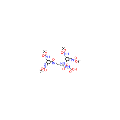 CC(C)(C)OC(=O)NCc1cc(CNC(=O)OC(C)(C)C)cc(C(=O)NCCCC[C@H](NC(=O)c2cc(CNC(=O)OC(C)(C)C)cc(CNC(=O)OC(C)(C)C)c2)C(=O)NCCC(=O)O)c1